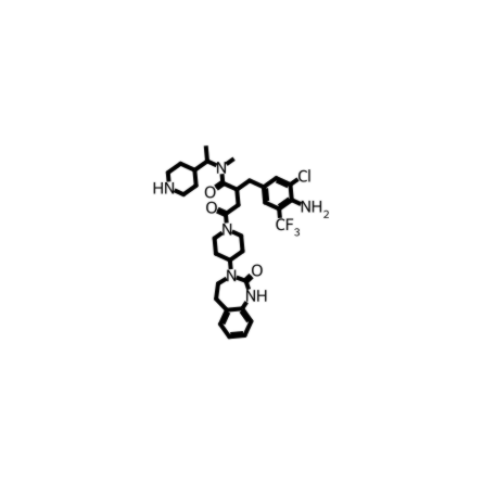 CC(C1CCNCC1)N(C)C(=O)C(CC(=O)N1CCC(N2CCc3ccccc3NC2=O)CC1)Cc1cc(Cl)c(N)c(C(F)(F)F)c1